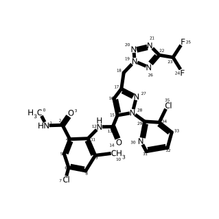 CNC(=O)c1cc(Cl)cc(C)c1NC(=O)c1cc(Cn2nnc(C(F)F)n2)nn1-c1ncccc1Cl